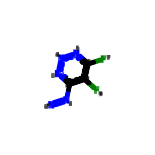 [N]=Nc1nnnc(F)c1F